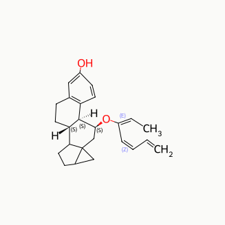 C=C/C=C\C(=C/C)O[C@H]1CC23CC2CCC3[C@@H]2CCc3cc(O)ccc3[C@@H]12